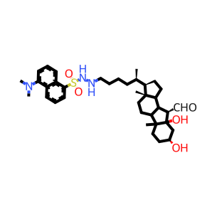 C[C@H](CCCCNNS(=O)(=O)c1cccc2c(N(C)C)cccc12)[C@H]1CCC2C3C(CC[C@@]21C)C1(C)CC[C@H](O)CC1(O)[C@@H]3C=O